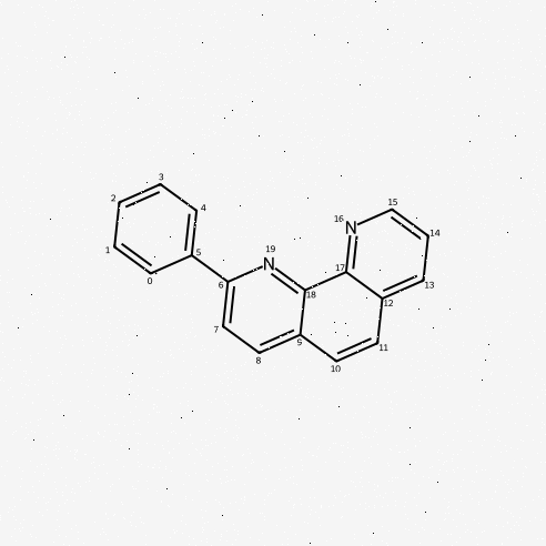 [c]1ccccc1-c1ccc2ccc3cccnc3c2n1